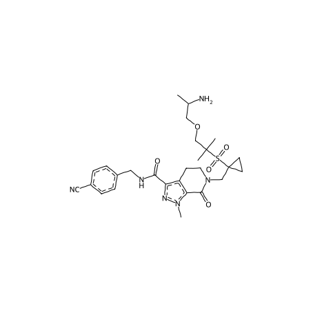 CC(N)COCC(C)(C)S(=O)(=O)C1(CN2CCc3c(C(=O)NCc4ccc(C#N)cc4)nn(C)c3C2=O)CC1